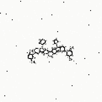 Cc1ccc(C)c(C2=Cc3c(n(-c4ccccn4)c4cc5c(cc34)CCc3cc4c6cc(-c7cc(C)ccc7C)ccc6n(-n6cccc6)c4cc3-5)CC2)c1